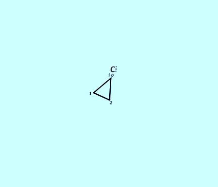 C1CC1.[C]